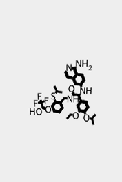 CCOc1cc(C(Nc2ccc3c(N)nccc3c2)C(=O)NCc2ccccc2SC(C)C)ccc1OC(C)C.O=C(O)C(F)(F)F